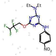 CCN(CC)c1nc(Nc2ccc([N+](=O)[O-])cc2)nc(OCC(F)(F)C(F)F)n1